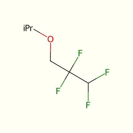 CC(C)OCC(F)(F)C(F)F